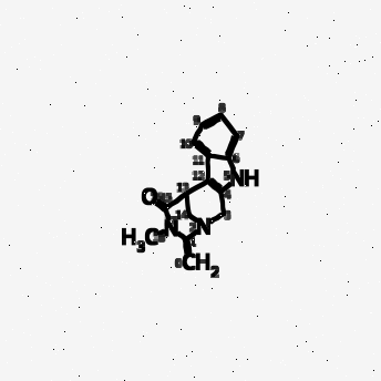 C=C1N2Cc3[nH]c4ccccc4c3C(C2)C(=O)N1C